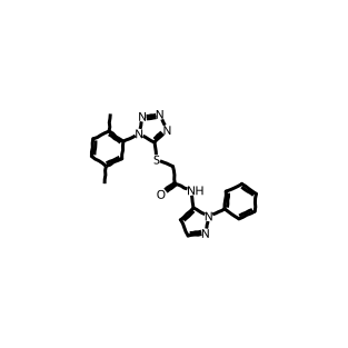 Cc1ccc(C)c(-n2nnnc2SCC(=O)Nc2ccnn2-c2ccccc2)c1